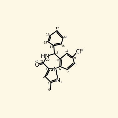 Cc1cc2n(n1)-c1ccc(Cl)cc1C(c1ccccc1)NC2=O